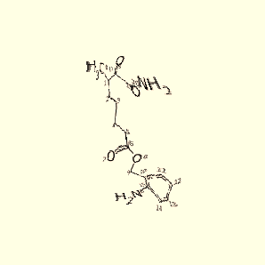 CC(CCCCC(=O)OCc1ccccc1N)C(=O)ON